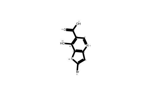 O=C(O)c1cnc2cc(Br)sc2c1O